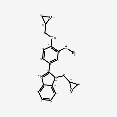 CCOc1cc(-c2nc3ccccc3n2CC2CO2)ccc1OCC1CO1